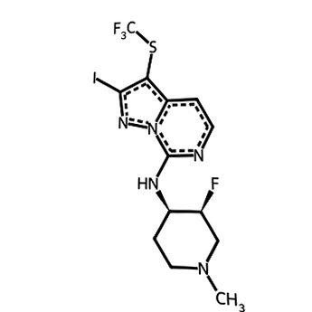 CN1CC[C@@H](Nc2nccc3c(SC(F)(F)F)c(I)nn23)[C@@H](F)C1